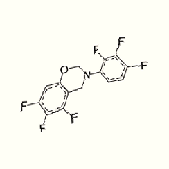 Fc1ccc(N2COc3cc(F)c(F)c(F)c3C2)c(F)c1F